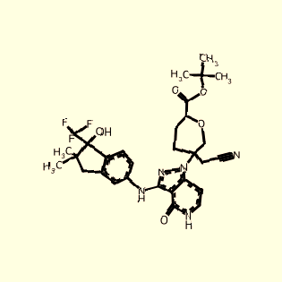 CC(C)(C)OC(=O)C1CCC(CC#N)(n2nc(Nc3ccc4c(c3)CC(C)(C)C4(O)C(F)(F)F)c3c(=O)[nH]ccc32)CO1